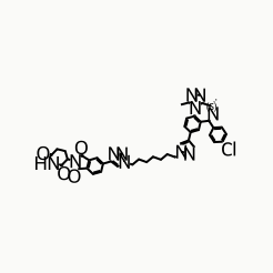 Cc1nnc2n1-c1ccc(-c3cnn(CCCCCCCn4cc(-c5ccc6c(c5)C(=O)N(C5CCC(=O)NC5=O)C6=O)nn4)c3)cc1C(c1ccc(Cl)cc1)=N[C@H]2C